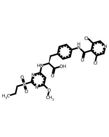 CCCS(=O)(=O)c1nc(N[C@@H](Cc2ccc(NC(=O)c3c(Cl)cncc3Cl)cc2)C(=O)O)cc(OC)n1